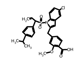 C=CC(c1ccc(C(C)C)cc1)S(=O)(=O)n1c(Cc2ccc(C(=O)O)c(OC)c2)cc2cc(Cl)ccc21